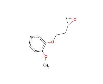 COc1ccccc1OCCC1CO1